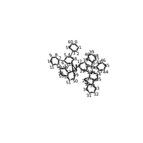 c1ccc(-c2cc(-c3ccccc3)cc(N(c3ccc4c(c3)-c3c(ccc5c3sc3ccccc35)C4(c3ccccc3)c3ccccc3)c3cccc4ccccc34)c2)cc1